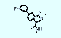 CNC(=O)c1cnc(N)c2cc(-c3cccc(F)c3)ccc12